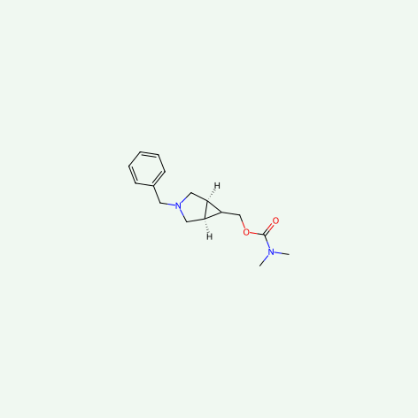 CN(C)C(=O)OCC1[C@H]2CN(Cc3ccccc3)C[C@@H]12